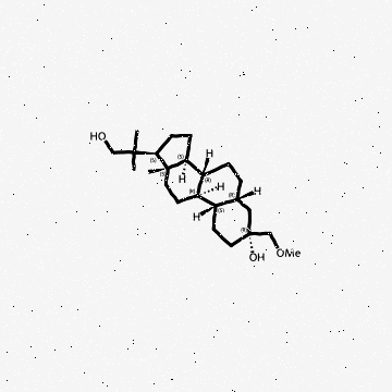 COC[C@@]1(O)CC[C@H]2[C@H](CC[C@@H]3[C@@H]2CC[C@]2(C)[C@@H](C(C)(C)CO)CC[C@@H]32)C1